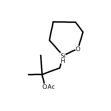 CC(=O)OC(C)(C)C[SiH]1CCCCO1